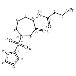 CC(C)C[CH]C(=O)N[C@H]1CCCN(S(=O)(=O)c2cccs2)CC1=O